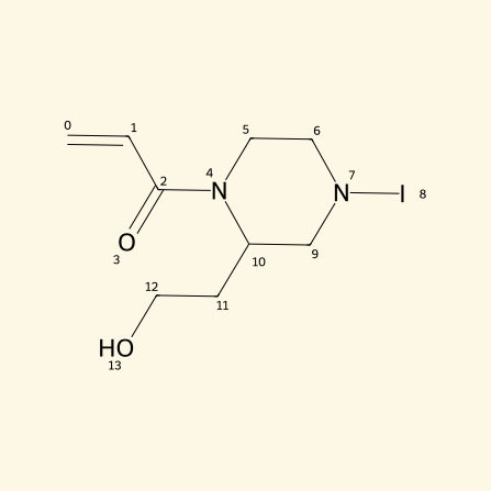 C=CC(=O)N1CCN(I)CC1CCO